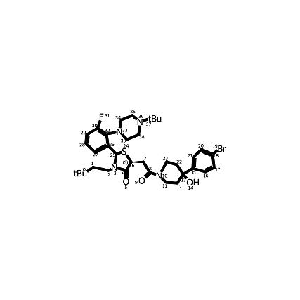 CC(C)(C)CCN1C(=O)[C@H](CC(=O)N2CCC(O)(c3ccc(Br)cc3)CC2)SC1c1cccc(F)c1N1CCN(C(C)(C)C)CC1